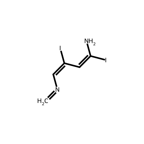 C=N/C=C(I)\C=C(/N)I